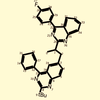 CC(Cc1ccc2nc(C(C)(C)C)nc(-c3ccccc3)c2c1)c1nc(-c2ccc(F)cc2)c2ccccc2n1